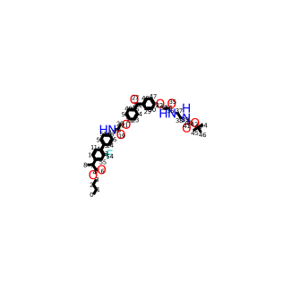 CCCCOC(=O)C(C)c1ccc(-c2ccc(NC(=O)COc3ccc(C(=O)c4ccc(OCC(=O)NCCNC(=O)OC(C)(C)C)cc4)cc3)cc2)c(F)c1